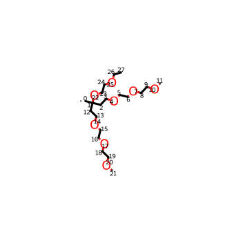 [CH2]C(CCOCCOCCOC)(CCOCCOCCOC)OCCOCC